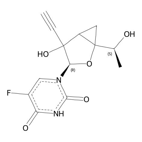 C#CC1(O)C2CC2([C@H](C)O)O[C@H]1n1cc(F)c(=O)[nH]c1=O